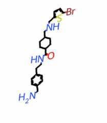 NCc1ccc(CCNC(=O)C2CCC(CNCc3ccc(Br)s3)CC2)cc1